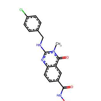 Cn1c(NCc2ccc(Cl)cc2)nc2ccc(C(=O)NO)cc2c1=O